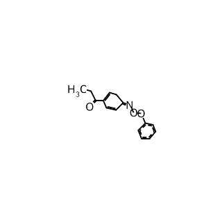 CCC(=O)C1=CCC(=NOOc2ccccc2)C=C1